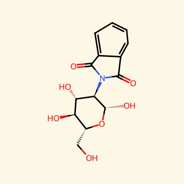 O=C1c2ccccc2C(=O)N1[C@@H]1[C@@H](O)[C@H](O)[C@@H](CO)O[C@H]1O